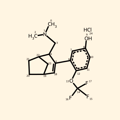 CN(C)CC1C(c2cc(O)ccc2OC(F)(F)F)=CC2CCC1C2.Cl